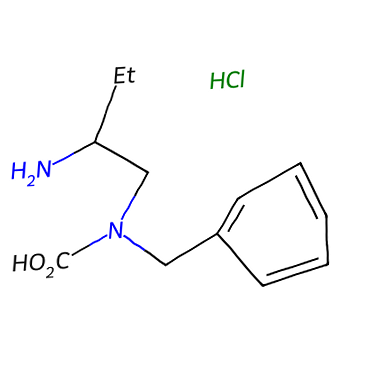 CCC(N)CN(Cc1ccccc1)C(=O)O.Cl